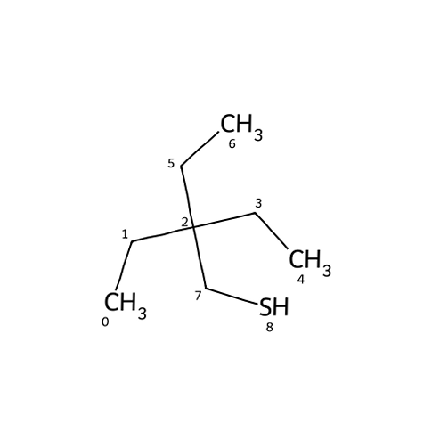 CCC(CC)(CC)CS